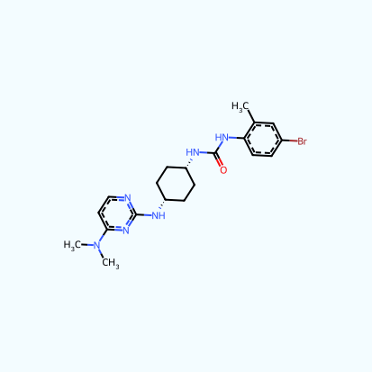 Cc1cc(Br)ccc1NC(=O)N[C@H]1CC[C@@H](Nc2nccc(N(C)C)n2)CC1